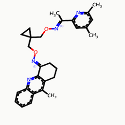 C/C(=N\OCC1(CO/N=C2\CCCc3c2nc2ccccc2c3C)CC1)c1cc(C)cc(C)n1